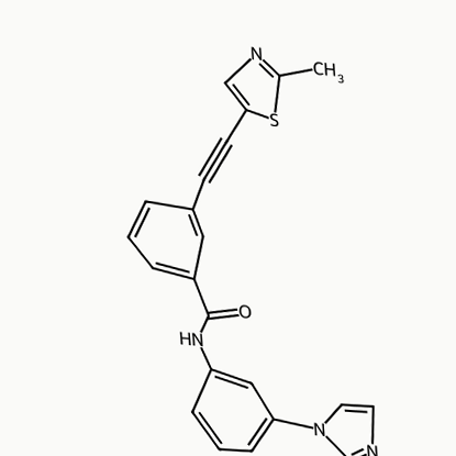 Cc1ncc(C#Cc2cccc(C(=O)Nc3cccc(-n4ccnc4)c3)c2)s1